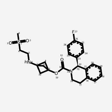 CS(=O)(=O)CCNC12CC(OC(=O)N3CCc4ccccc4[C@@H]3c3ccc(F)cc3)(C1)C2